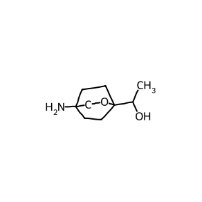 CC(O)C12CCC(N)(CC1)CO2